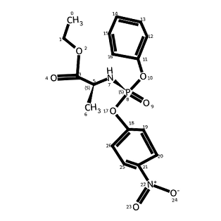 CCOC(=O)[C@H](C)N[P@](=O)(Oc1ccccc1)Oc1ccc([N+](=O)[O-])cc1